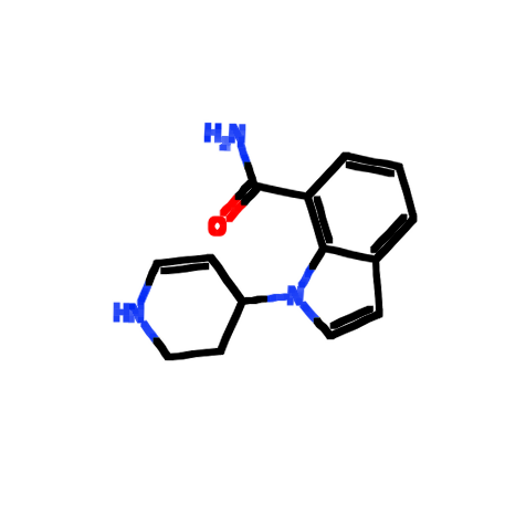 NC(=O)c1cccc2ccn(C3C=CNCC3)c12